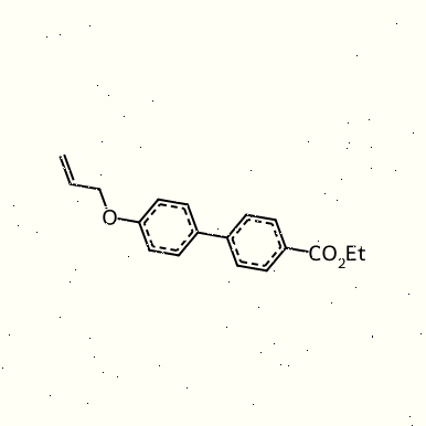 C=CCOc1ccc(-c2ccc(C(=O)OCC)cc2)cc1